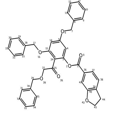 O=C(Oc1cc(OCc2ccccc2)cc(OCc2ccccc2)c1C(=O)COCc1ccccc1)c1ccc2c(c1)OCC2